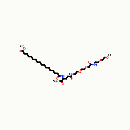 CCOCCOCCNC(=O)COCCOCCNC(=O)CCC(NC(=O)CCCCCCCCCCCCCCCCC(=O)OC(C)C)C(=O)OC